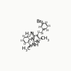 Cc1nc(N[C@@H](C)c2ccccc2)nc(N)c1CCc1cccc(Br)c1